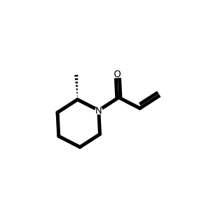 C=CC(=O)N1CCCC[C@@H]1C